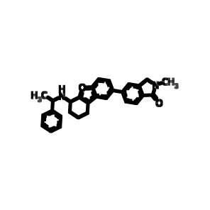 CC(NC1CCCc2c1oc1ccc(-c3ccc4c(c3)CN(C)C4=O)cc21)c1ccccc1